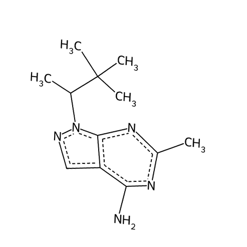 Cc1nc(N)c2cnn(C(C)C(C)(C)C)c2n1